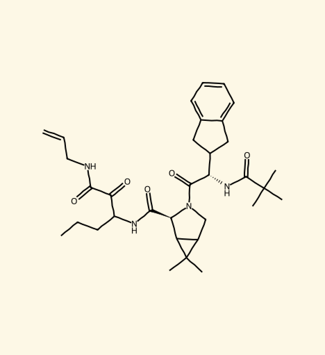 C=CCNC(=O)C(=O)C(CCC)NC(=O)[C@@H]1C2C(CN1C(=O)[C@@H](NC(=O)C(C)(C)C)C1Cc3ccccc3C1)C2(C)C